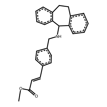 COC(=O)/C=C/c1ccc(CNC2c3ccccc3CCc3ccccc32)cc1